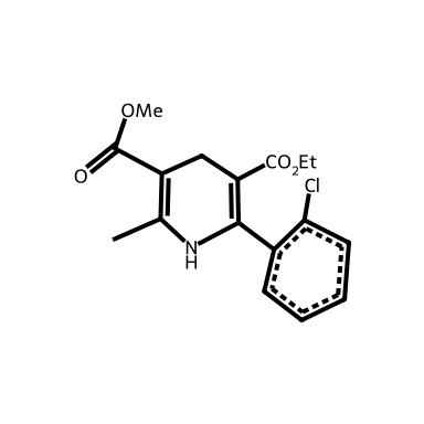 CCOC(=O)C1=C(c2ccccc2Cl)NC(C)=C(C(=O)OC)C1